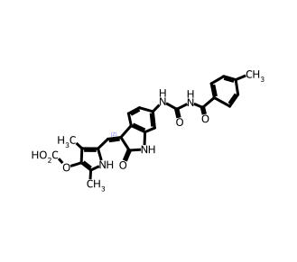 Cc1ccc(C(=O)NC(=O)Nc2ccc3c(c2)NC(=O)/C3=C\c2[nH]c(C)c(OC(=O)O)c2C)cc1